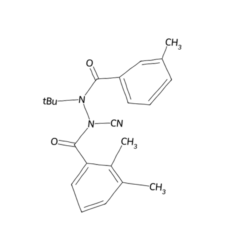 Cc1cccc(C(=O)N(N(C#N)C(=O)c2cccc(C)c2C)C(C)(C)C)c1